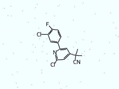 CC(C)(C#N)c1cc(Cl)nc(-c2ccc(F)c(Cl)c2)c1